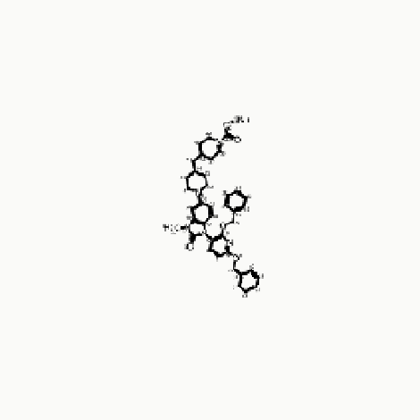 Cn1c(=O)n(-c2ccc(OCc3ccccc3)nc2OCc2ccccc2)c2ccc(N3CCC(CC4CCN(C(=O)OC(C)(C)C)CC4)CC3)cc21